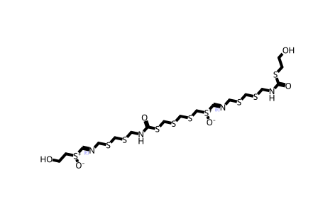 O=C(NCSCSC/N=C/[S+]([O-])CSCSCSC(=O)NCSCSC/N=C/[S+]([O-])CCO)SCCO